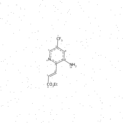 CCOC(=O)/C=C/c1ncc(C(F)(F)F)cc1N